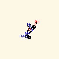 CCCCc1nc2c(N)nc3ccccc3c2n1CCCN(Cc1ccc(OCC(=O)OC)cc1)C(=O)CN1CCN(C)CC1